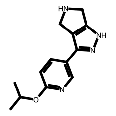 CC(C)Oc1ccc(-c2n[nH]c3c2CNC3)cn1